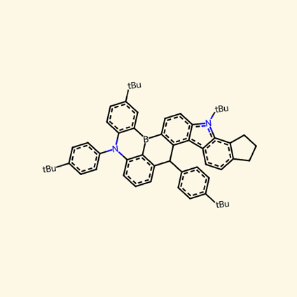 CC(C)(C)c1ccc(C2c3cccc4c3B(c3cc(C(C)(C)C)ccc3N4c3ccc(C(C)(C)C)cc3)c3ccc4c(c32)c2ccc3c(c2n4C(C)(C)C)CCC3)cc1